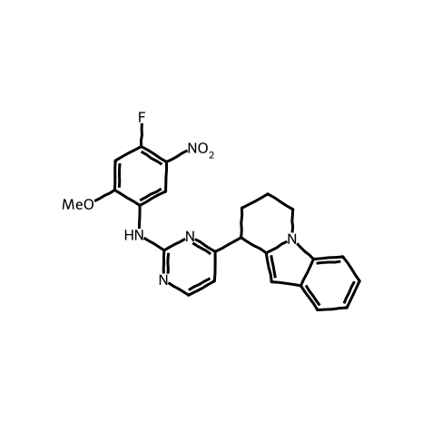 COc1cc(F)c([N+](=O)[O-])cc1Nc1nccc(C2CCCn3c2cc2ccccc23)n1